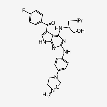 CC(C)C[C@@H](CO)Nc1nc(Nc2ccc(N3CCN(C)CC3)cc2)nc2[nH]cc(C(=O)c3ccc(F)cc3)c12